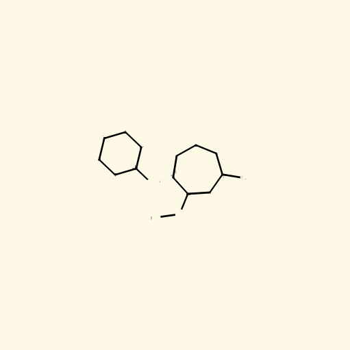 CC(C)OC1CC(N)CCC[C@H]1OC1CCCCC1